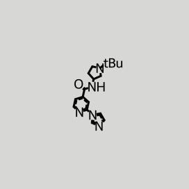 CC(C)(C)N1CCC(NC(=O)c2ccnc(-n3ccnc3)c2)C1